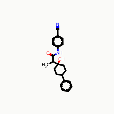 CC(C(=O)Nc1ccc(C#N)cc1)C1(O)CCC(c2ccccc2)CC1